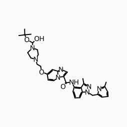 Cc1cccc(Cn2nc(C)c3c(NC(=O)c4cnc5cc(OCCN6CCN(C(O)OC(C)(C)C)CC6)ccn45)cccc32)n1